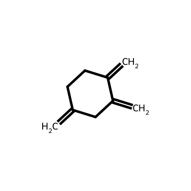 C=C1CCC(=C)C(=C)C1